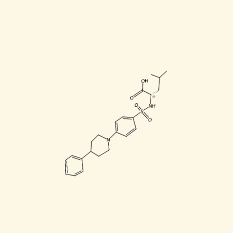 CC(C)C[C@H](NS(=O)(=O)c1ccc(N2CCC(c3ccccc3)CC2)cc1)C(=O)O